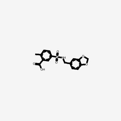 Cc1ccc(S(=O)(=O)NCc2ccc3c(c2)OCO3)cc1C(=O)O